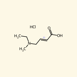 CCN(C)C/C=C/C(=O)O.Cl